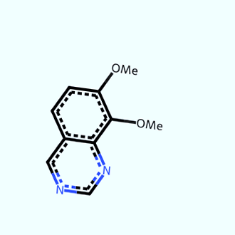 COc1ccc2cncnc2c1OC